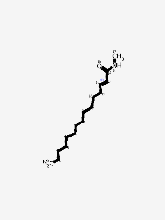 CCCCCCCCCCCC/C=C/C(=O)NC